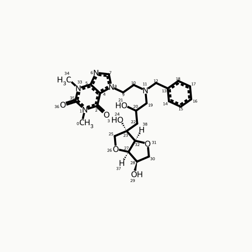 Cn1c(=O)c2c(ncn2CCN(Cc2ccccc2)CC(O)C[C@]2(O)CO[C@@H]3[C@H](O)CO[C@@H]32)n(C)c1=O